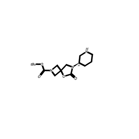 CC(C)(C)OC(=O)N1CC2(C1)CN([C@@H]1CCCNC1)C(=O)O2